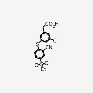 CCS(=O)(=O)c1ccc(Sc2cc(Cl)cc(CC(=O)O)c2)c(C#N)c1